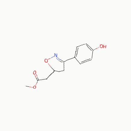 COC(=O)CC1CC(c2ccc(O)cc2)=NO1